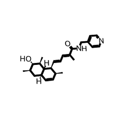 C/C(=C\C=C\[C@@H]1[C@H]2[C@H](C)[C@@H](O)[C@H](C)C[C@@H]2C=C[C@@H]1C)C(=O)NCc1ccncc1